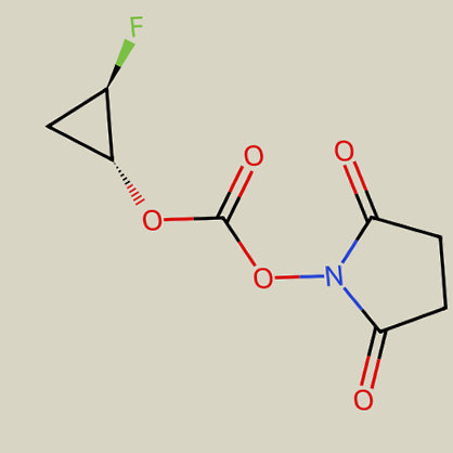 O=C(O[C@@H]1C[C@H]1F)ON1C(=O)CCC1=O